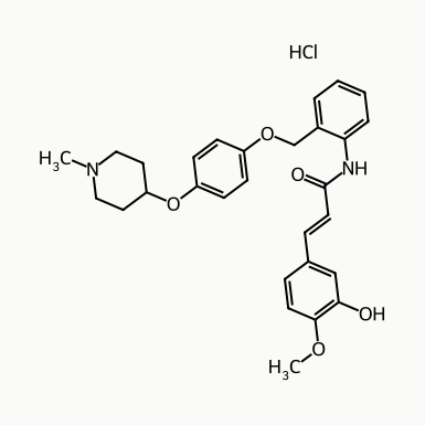 COc1ccc(/C=C/C(=O)Nc2ccccc2COc2ccc(OC3CCN(C)CC3)cc2)cc1O.Cl